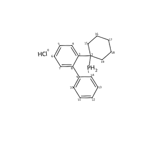 Cl.PC1(c2ccccc2-c2ccccc2)CCCCC1